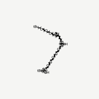 CC(C)(C)CCOCCOCCOCCn1cc(CCCCOP(=O)(O)OCCOCCOCCOCCOCCOCCOP(=O)(O)OC(C)(C)C)nn1